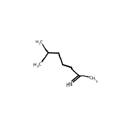 CC(=N)CCCC(C)C